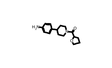 Nc1ccc(C2CCN(C(=O)C3CCCO3)CC2)cc1